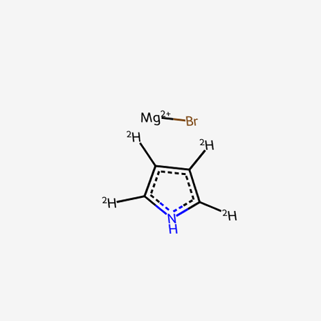 [2H]c1[nH]c([2H])c([2H])c1[2H].[Mg+2][Br]